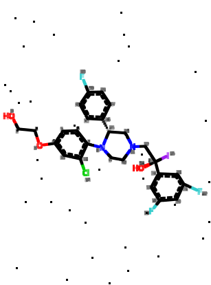 OCCOc1ccc(N2CCN(C[C@](O)(I)c3cc(F)cc(F)c3)C[C@H]2c2ccc(F)cc2)c(Cl)c1